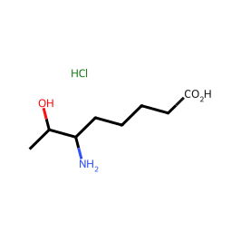 CC(O)C(N)CCCCC(=O)O.Cl